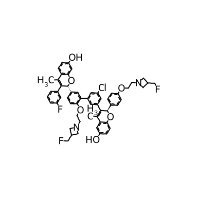 CC1=C(c2cccc(F)c2)[C@@H](c2ccc(OCCN3CC(CF)C3)c(-c3cc(Cl)cc(C4=C(C)c5cc(O)ccc5O[C@@H]4c4ccc(OCCN5CC(CF)C5)cc4)c3)c2)Oc2cc(O)ccc21